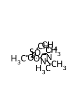 C.CCOP(=S)(OCC)Oc1cc(C)nc(C(C)C)n1